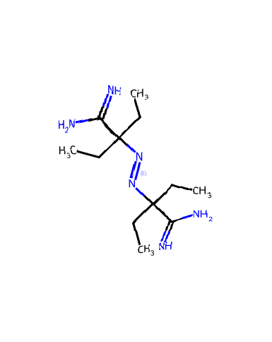 CCC(CC)(/N=N/C(CC)(CC)C(=N)N)C(=N)N